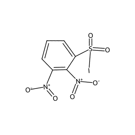 O=[N+]([O-])c1cccc(S(=O)(=O)I)c1[N+](=O)[O-]